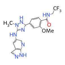 COc1cc(C2N=C(Nc3cnc4[nH]ncc4c3)N(C)N2)ccc1C(=O)NCC(F)(F)F